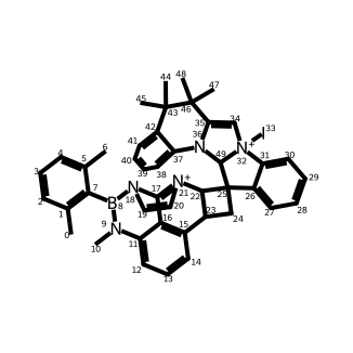 Cc1cccc(C)c1B1N(C)c2cccc3c2-c2n1cc[n+]2C1C3CC12c1ccccc1[N+]1(I)C=C3N(c4ccccc4C(C)(C)C3(C)C)C21